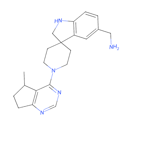 CC1CCc2ncnc(N3CCC4(CC3)CNc3ccc(CN)cc34)c21